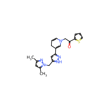 Cc1cc(C)n(Cc2cc(C3=CN(CC(=O)c4cccs4)C=CC3)n[nH]2)n1